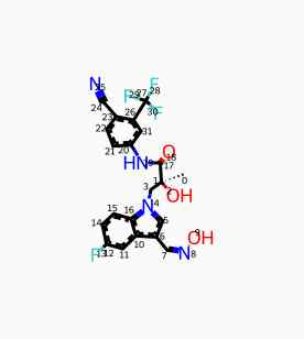 C[C@](O)(Cn1cc(/C=N\O)c2cc(F)ccc21)C(=O)Nc1ccc(C#N)c(C(F)(F)F)c1